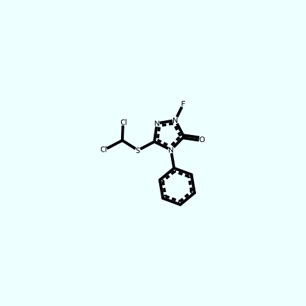 O=c1n(F)nc(SC(Cl)Cl)n1-c1ccccc1